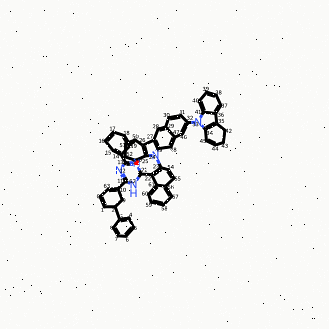 C1=CC(c2ccccc2)CC(C2=NC(c3ccccc3)=NC(c3c(-n4c5c(c6cc7ccc(-n8c9c(c%10ccccc%108)CCC=C9)cc7cc64)C=CCC5)ccc4ccccc34)N2)=C1